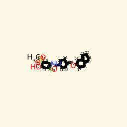 CS(=O)(=O)c1cc(NC(=O)c2ccc(COc3ccc4ccccc4c3)cc2)c(F)cc1O